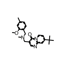 COc1cc(C)ccc1CN(C)Cc1cnc2cc(C(C)(C)C)ccn2c1=O